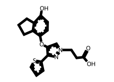 O=C(O)CCn1cc(Oc2ccc(O)c3c2CCC3)c(-c2cccs2)n1